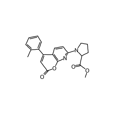 COC(=O)C1CCCN1c1ccc2c(-c3ccccc3C)cc(=O)oc2n1